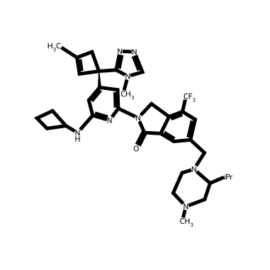 CC1=C[C@@](c2cc(NC3CCC3)nc(N3Cc4c(cc(CN5CCN(C)CC5C(C)C)cc4C(F)(F)F)C3=O)c2)(c2nncn2C)C1